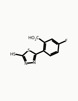 O=C(O)c1cc(F)ccc1-c1nnc(S)s1